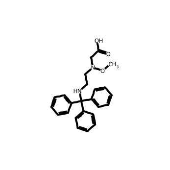 CON(CCNC(c1ccccc1)(c1ccccc1)c1ccccc1)CC(=O)O